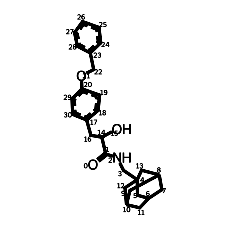 O=C(NCC12CC3CC(CC(C3)C1)C2)C(O)Cc1ccc(OCc2ccccc2)cc1